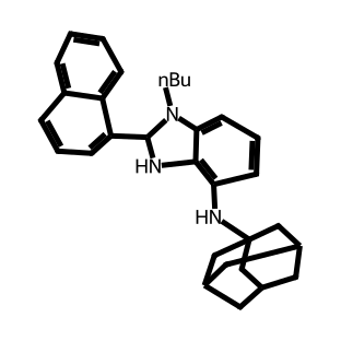 CCCCN1c2cccc(NC34CC5CC(CC(C5)C3)C4)c2NC1c1cccc2ccccc12